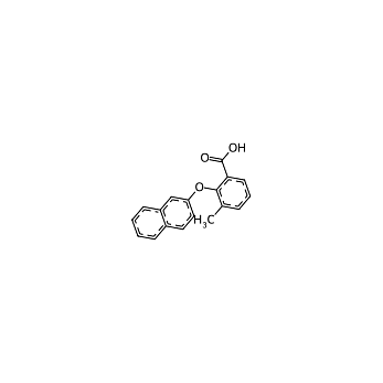 Cc1cccc(C(=O)O)c1Oc1ccc2ccccc2c1